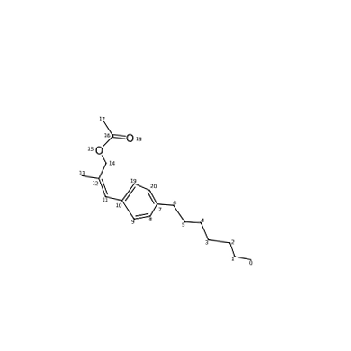 CCCCCCCc1ccc(C=C(C)COC(C)=O)cc1